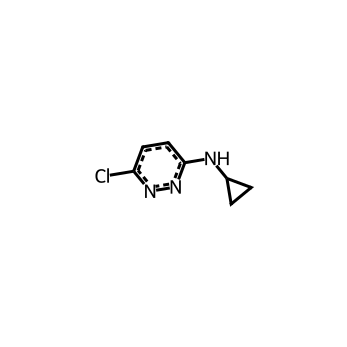 Clc1ccc(NC2CC2)nn1